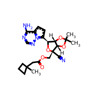 CC1(CC(=O)OC[C@@]2(C#N)O[C@@H](c3ccc4c(N)ncnn34)[C@@H]3OC(C)(C)O[C@@H]32)CCC1